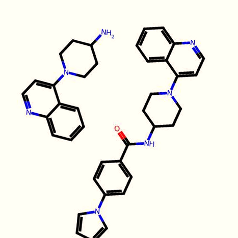 NC1CCN(c2ccnc3ccccc23)CC1.O=C(NC1CCN(c2ccnc3ccccc23)CC1)c1ccc(-n2cccc2)cc1